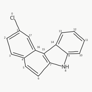 Clc1ccc2ccc3[nH]c4ccccc4c3c2c1